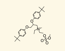 CC[N+](C)(CC)CC(COc1ccc(C(C)(C)C)cc1)Oc1ccc(C(C)(C)C)cc1.COS(=O)(=O)[O-]